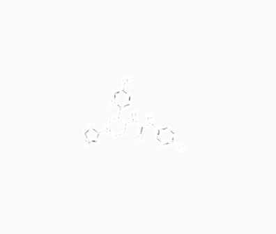 COc1ccc(C2CN(c3cncs3)CCC2NC(=O)Nc2ccc(Cl)cc2)nc1